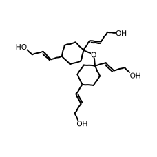 OCC=CC1CCC(C=CCO)(OC2(C=CCO)CCC(C=CCO)CC2)CC1